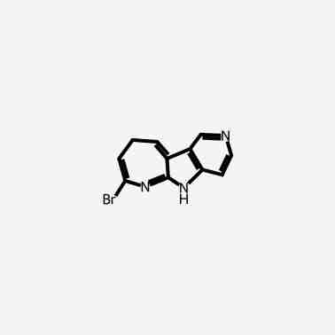 BrC1=CCC=c2c([nH]c3ccncc23)=N1